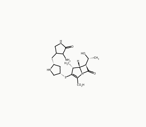 C[C@@H](O)[C@H]1C(=O)N2C(C(=O)O)=C(S[C@@H]3CN[C@H](CC4CNC(=O)C4N)C3)[C@H](C)[C@H]12